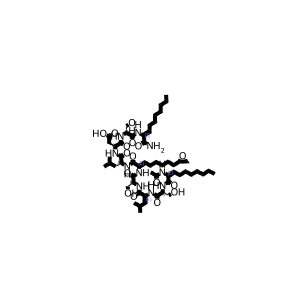 CCCCCCC/C=C(\NC(=O)[C@@H](CO)NC(=O)[C@H](CC(=O)O)NC(=O)[C@@H](CC(C)C)NC(=O)/C(=C/CCCCCC1CO1)NC(=O)[C@@H](CO)NC(=O)/C(=C\C(C)C)NC(=O)[C@@H](CO)NC(=O)/C(=C\CCCCCCC)NC(C)=O)C(N)=O